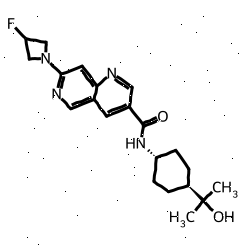 CC(C)(O)[C@H]1CC[C@H](NC(=O)c2cnc3cc(N4CC(F)C4)ncc3c2)CC1